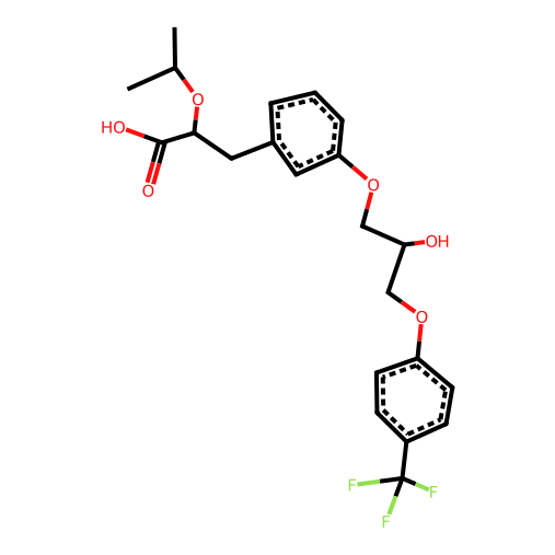 CC(C)OC(Cc1cccc(OCC(O)COc2ccc(C(F)(F)F)cc2)c1)C(=O)O